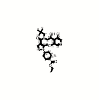 CCOC(=O)[C@H]1CC[C@H](n2ncc(C(=O)N(CC(O)c3c(Cl)cncc3Cl)CC(C)(C)C)c2C)C[C@@H]1C